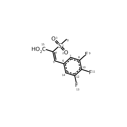 CS(=O)(=O)C(=Cc1cc(F)c(F)c(F)c1)C(=O)O